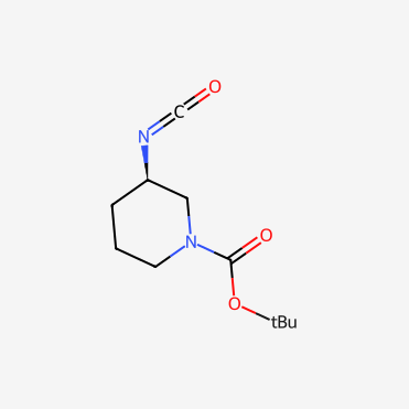 CC(C)(C)OC(=O)N1CCC[C@@H](N=C=O)C1